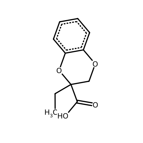 CCC1(C(=O)O)COc2ccccc2O1